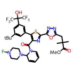 COC(=O)C(C)(C)Cc1nnc(-c2nc(C(=O)N3C=CC=CC3N3CCN(F)CC3)c(-c3cc(C(C)(C)C)cc(C(O)(C(F)(F)F)C(F)(F)F)c3)s2)o1